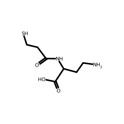 NCCC(NC(=O)CCS)C(=O)O